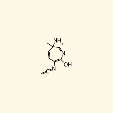 C=C=NC1=C(O)N=CC(C)(N)C=C1